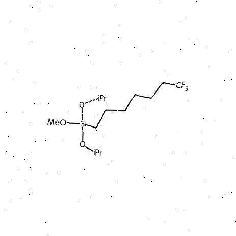 CO[Si](CCCCCCC(F)(F)F)(OC(C)C)OC(C)C